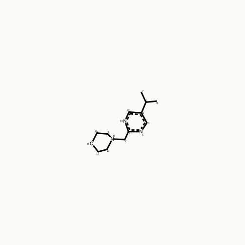 CC(C)c1cnc(CN2CCOCC2)nc1